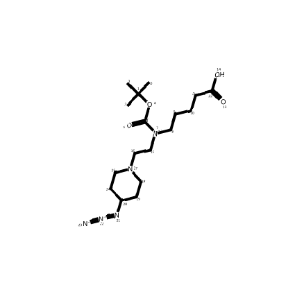 CC(C)(C)OC(=O)N(CCCCC(=O)O)CCN1CCC(N=[N+]=[N-])CC1